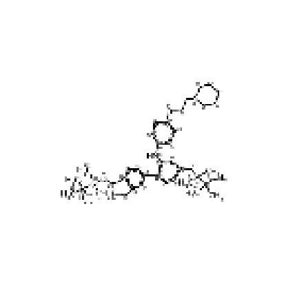 CC(C)(C)[Si](C)(C)Cc1ccc(-c2ccc3c(c2)CCC3O[Si](C)(C)C(C)(C)C)c(Nc2ccc(OCCN3CCCCC3)cc2)c1